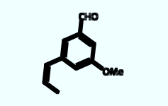 C/C=C\c1cc(C=O)cc(OC)c1